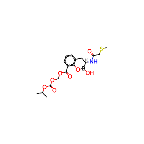 CSCC(=O)N[C@H]1Cc2cccc(C(=O)OCOC(=O)OC(C)C)c2OB1O